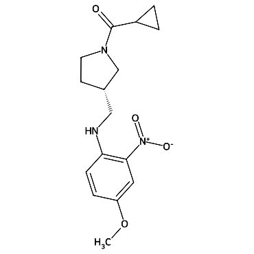 COc1ccc(NC[C@@H]2CCN(C(=O)C3CC3)C2)c([N+](=O)[O-])c1